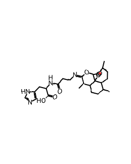 CC1CCC2C(C)/C(=N\CCC(=O)NC(Cc3cnc[nH]3)C(=O)O)OC3OC4(C)CCC1C32OO4